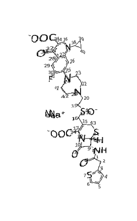 O=C(Cc1cccs1)N[C@@H]1C(=O)N2C(C(=O)[O-])=C(C[S+]([O-])CCN3CCN(c4cc5c(cc4F)c(=O)c(C(=O)[O-])cn5C4CC4)CC3)CS[C@H]12.[Na+].[Na+]